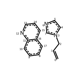 C=CCn1ccnc1.c1ccc2ncccc2c1